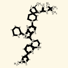 C[C@@H]1OCC2(CCN(c3cnc4c(N5CCNc6nc(-c7cnn(C)c7)ccc65)nn(C5CCCCO5)c4n3)CC2)[C@@H]1NC(=O)OC(C)(C)C